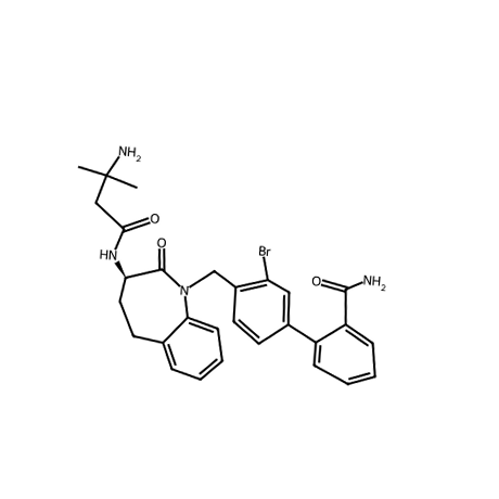 CC(C)(N)CC(=O)N[C@@H]1CCc2ccccc2N(Cc2ccc(-c3ccccc3C(N)=O)cc2Br)C1=O